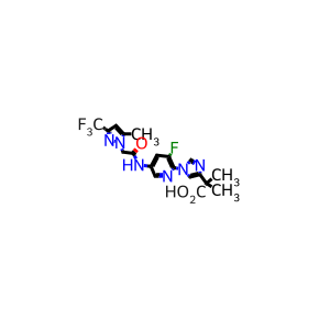 Cc1cc(C(F)(F)F)nn1CC(=O)Nc1cnc(-n2cnc(C(C)(C)C(=O)O)c2)c(F)c1